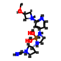 COC1CN(c2cc(N3CCN([C@@H]4CCN(C#N)C4)S3(O)O)ccn2)C1